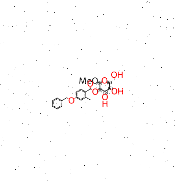 CO[C@H]1O[C@H](CO)[C@@H](O)[C@H](O)[C@H]1OC(=O)c1ccc(OCc2ccccc2)cc1C